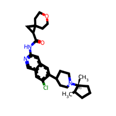 CC1CCC[C@@]1(C)N1CCC(c2cc3cc(NC(=O)C4CC45CCOCC5)ncc3cc2Cl)CC1